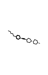 CCCCCc1ccc(C#CC2CCC([C@H]3CC[C@H](C)CC3)CC2)cc1